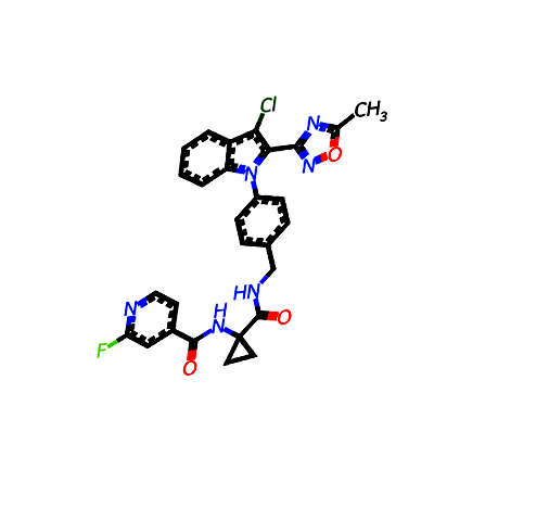 Cc1nc(-c2c(Cl)c3ccccc3n2-c2ccc(CNC(=O)C3(NC(=O)c4ccnc(F)c4)CC3)cc2)no1